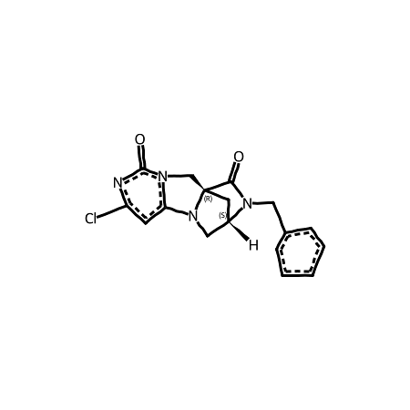 O=C1N(Cc2ccccc2)[C@@H]2CN3c4cc(Cl)nc(=O)n4C[C@]13C2